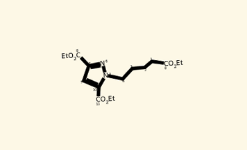 CCOC(=O)CCCCn1nc(C(=O)OCC)cc1C(=O)OCC